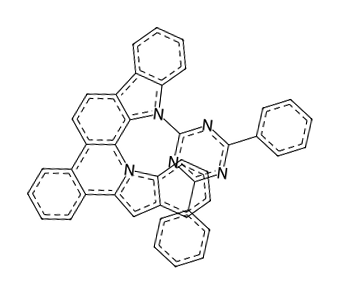 c1ccc(-c2nc(-c3ccccc3)nc(-n3c4ccccc4c4ccc5c6ccccc6c6cc7ccccc7n6c5c43)n2)cc1